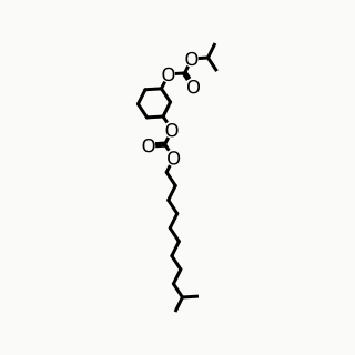 CC(C)CCCCCCCCCOC(=O)OC1CCCC(OC(=O)OC(C)C)C1